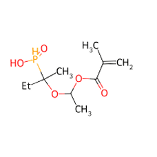 C=C(C)C(=O)OC(C)OC(C)(CC)[PH](=O)O